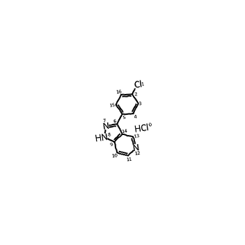 Cl.Clc1ccc(-c2n[nH]c3ccncc23)cc1